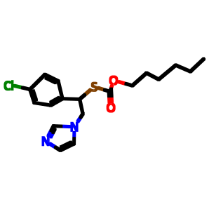 CCCCCCOC(=O)SC(Cn1ccnc1)c1ccc(Cl)cc1